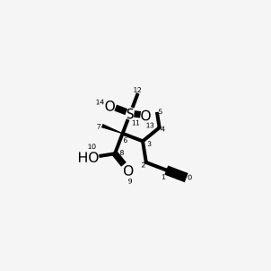 C#CCC(CC)[C@](C)(C(=O)O)S(C)(=O)=O